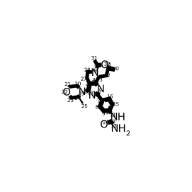 C=CCC1c2nc(-c3ccc(NC(N)=O)cc3)nc(N3CCOC[C@@H]3C)c2CCN1C(C)=O